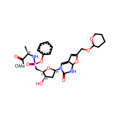 COC(=O)[C@@H](C)NP(=O)(C[C@H]1O[C@@H](N2C=C3C=C(COC4CCCCO4)OC3NC2=O)C[C@H]1O)Oc1ccccc1